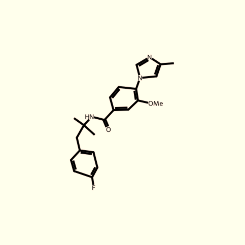 COc1cc(C(=O)NC(C)(C)Cc2ccc(F)cc2)ccc1-n1cnc(C)c1